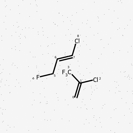 C=C(Cl)C(F)(F)F.FCC=CCl